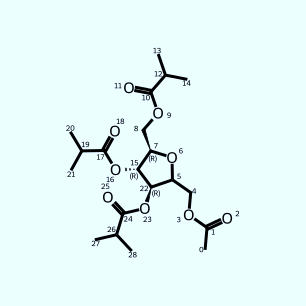 CC(=O)OCC1O[C@H](COC(=O)C(C)C)[C@@H](OC(=O)C(C)C)[C@@H]1OC(=O)C(C)C